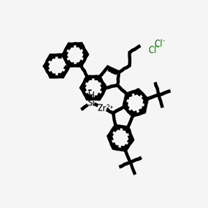 CCCC1=Cc2c(-c3cccc4ccccc34)cccc2C1c1cc(C(C)(C)C)cc2c1[CH]([Zr+2][SiH](C)C)c1ccc(C(C)(C)C)cc1-2.[Cl-].[Cl-]